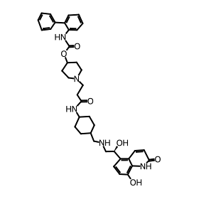 O=C(CCN1CCC(OC(=O)Nc2ccccc2-c2ccccc2)CC1)NC1CCC(CNC[C@@H](O)c2ccc(O)c3[nH]c(=O)ccc23)CC1